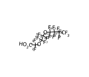 O=C(O)C(F)(F)OC(F)(F)C(F)(F)OC(F)(F)C(F)(F)C(F)(F)C(F)(F)F